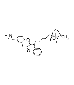 C[C@H]1CCC[C@@](C)(CCCCCN2C(=O)C(Cc3cccc(CN)c3)Oc3ccccc32)N1